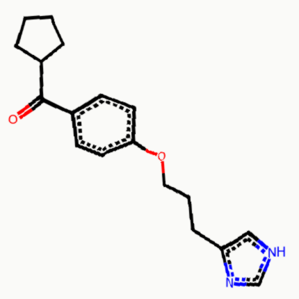 O=C(c1ccc(OCCCc2c[nH]cn2)cc1)C1CCCC1